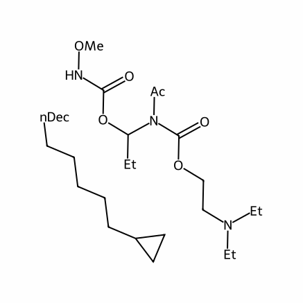 CCC(OC(=O)NOC)N(C(C)=O)C(=O)OCCN(CC)CC.CCCCCCCCCCCCCCCC1CC1